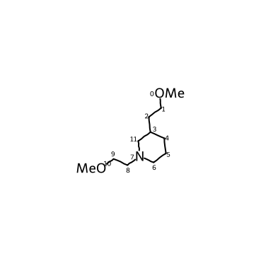 COCCC1CCCN(CCOC)C1